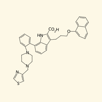 O=C(O)c1[nH]c2c(-c3ccccc3N3CCN(Cc4cscn4)CC3)cccc2c1CCCOc1cccc2ccccc12